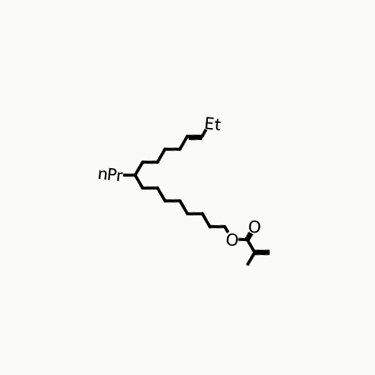 C=C(C)C(=O)OCCCCCCCCC(CCC)CCCCC=CCC